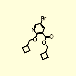 O=C(OCC1CCC1)c1cc(Br)cnc1OCC1CCC1